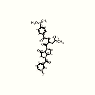 CC(C)CC(NC(=O)c1ccc(N(C)C)cc1)C(=O)N1CCC2C1C(=O)CN2C(=O)c1ccc[n+]([O-])c1